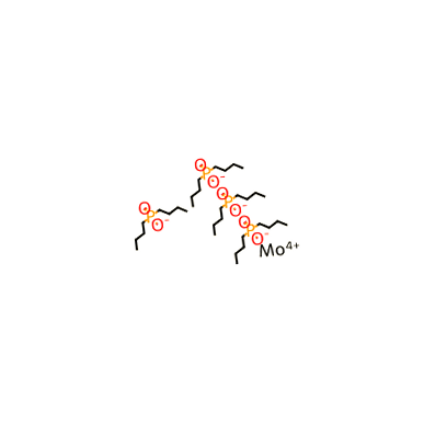 CCCCP(=O)([O-])CCCC.CCCCP(=O)([O-])CCCC.CCCCP(=O)([O-])CCCC.CCCCP(=O)([O-])CCCC.[Mo+4]